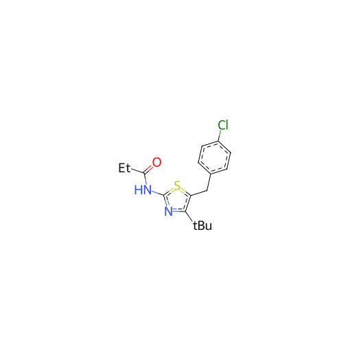 CCC(=O)Nc1nc(C(C)(C)C)c(Cc2ccc(Cl)cc2)s1